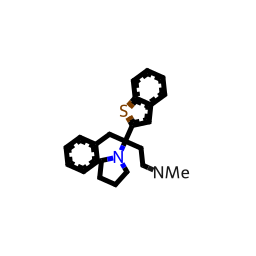 CNCCC(Cc1ccccc1)(c1cc2ccccc2s1)N1CCCC1